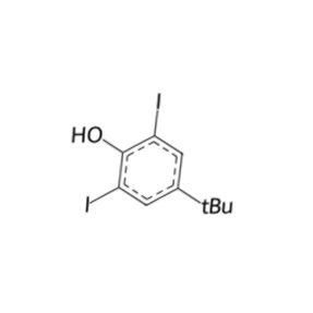 CC(C)(C)c1cc(I)c(O)c(I)c1